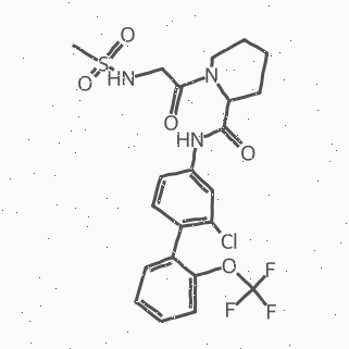 CS(=O)(=O)NCC(=O)N1CCCCC1C(=O)Nc1ccc(-c2ccccc2OC(F)(F)F)c(Cl)c1